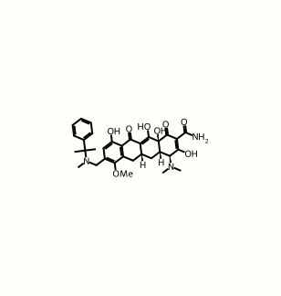 COc1c(CN(C)C(C)(C)c2ccccc2)cc(O)c2c1C[C@H]1C[C@H]3[C@H](N(C)C)C(O)=C(C(N)=O)C(=O)[C@@]3(O)C(O)=C1C2=O